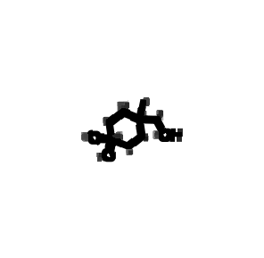 CC1(CO)CCS(=O)(=O)CC1